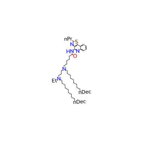 CCCCCCCCCCCCCCCCCCCN(CC)CCCN(CCCCCCCCCCCCCCCCCCC)CCCCCC(=O)Nc1nc2ccccc2c2sc(CCC)nc12